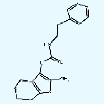 Nc1sc2c(c1OC(=O)NCCc1ccccc1)CCCC2